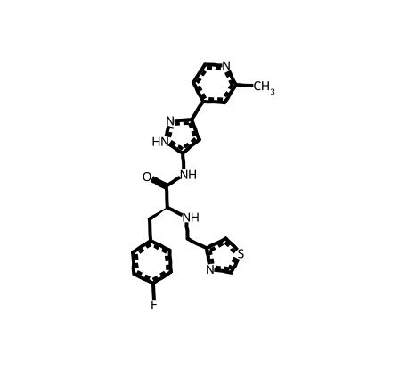 Cc1cc(-c2cc(NC(=O)[C@H](Cc3ccc(F)cc3)NCc3cscn3)[nH]n2)ccn1